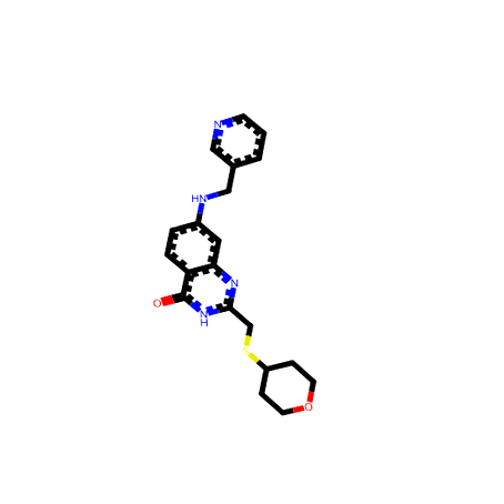 O=c1[nH]c(CSC2CCOCC2)nc2cc(NCc3cccnc3)ccc12